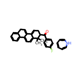 C1=CC=CNC=C1.CC1(C)c2ccc3c(c2=CCC1C(=O)c1ccc(F)cc1)=CCc1ccccc1-3